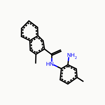 C=C(Nc1ccc(C)cc1N)c1cc2ccccc2cc1C